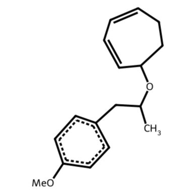 COc1ccc(CC(C)OC2C=CC=CCC2)cc1